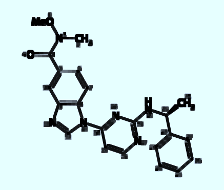 CON(C)C(=O)c1ccc2c(c1)ncn2-c1ccnc(N[C@@H](C)c2ccccc2)n1